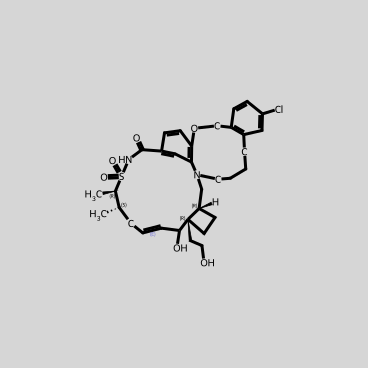 C[C@@H]1[C@@H](C)C/C=C/C(O)[C@@]2(CCO)CC[C@H]2CN2CCCCc3cc(Cl)ccc3COc3ccc(cc32)C(=O)NS1(=O)=O